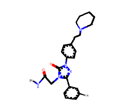 CC(C)NC(=O)Cn1c(-c2cccc(C#N)c2)nn(-c2ccc(CCN3CCCCC3)cc2)c1=O